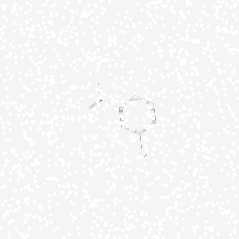 CCOC(=O)C(=O)c1cccc([N+](=O)[O-])c1